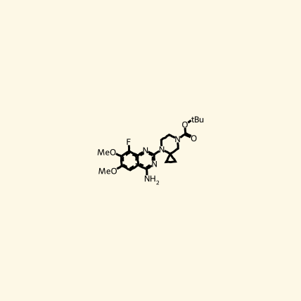 COc1cc2c(N)nc(N3CCN(C(=O)OC(C)(C)C)CC34CC4)nc2c(F)c1OC